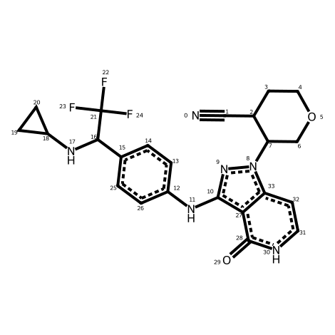 N#CC1CCOCC1n1nc(Nc2ccc(C(NC3CC3)C(F)(F)F)cc2)c2c(=O)[nH]ccc21